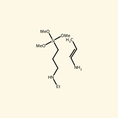 CC=CN.CCNCCC[Si](OC)(OC)OC